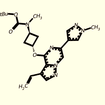 C=Cc1cnn2cc(-c3cnn(C)c3)nc(O[C@H]3C[C@H](N(C)C(=O)OC(C)(C)C)C3)c12